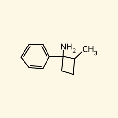 CC1CCC1(N)c1ccccc1